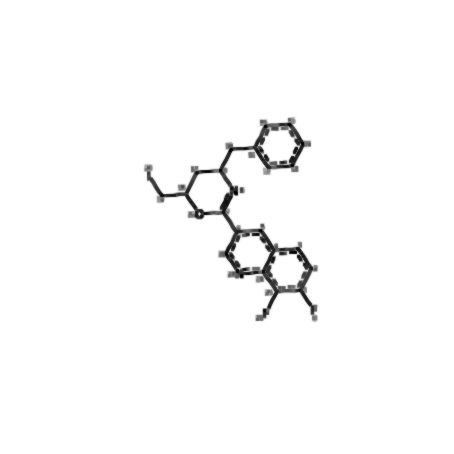 Fc1ccc2cc(C3=NC(Cc4ccccc4)CC(CI)O3)cnc2c1F